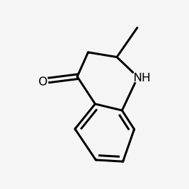 CC1CC(=O)c2ccccc2N1